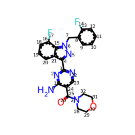 Nc1nc(-c2nn(Cc3ccccc3F)c3c(F)cccc23)ncc1C(=O)N1CCOCC1